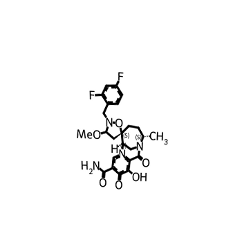 COC1C[C@]2(CC[C@H](C)N3C[C@H]2n2cc(C(N)=O)c(=O)c(O)c2C3=O)ON1Cc1ccc(F)cc1F